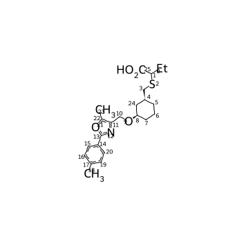 CCC(SC[C@H]1CCC[C@@H](OCc2nc(-c3ccc(C)cc3)oc2C)C1)C(=O)O